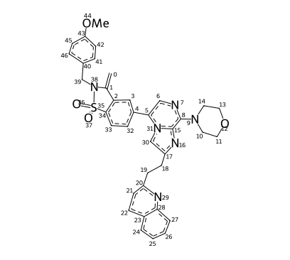 C=C1c2cc(-c3cnc(N4CCOCC4)c4nc(CCc5ccc6ccccc6n5)cn34)ccc2S(=O)(=O)N1Cc1ccc(OC)cc1